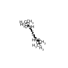 CC(C)(C)OC(=O)NCCCSSCCCNC(=O)OC(C)(C)C